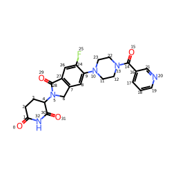 O=C1CCC(N2Cc3cc(N4CCN(C(=O)c5cccnc5)CC4)c(F)cc3C2=O)C(=O)N1